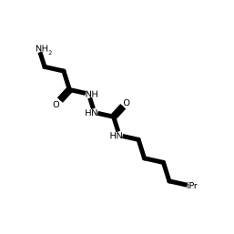 CC(C)CCCCNC(=O)NNC(=O)CCN